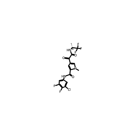 C[C@@H](NC(=O)C(=O)c1cc(C(=O)Nc2cc(F)c(F)c(Cl)c2)n(C)c1)C(F)(F)F